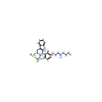 C[C@@H]1Cc2c([nH]c3ccccc23)[C@@H](c2c(F)ccc(OCCNCCCF)c2F)N1CC(F)F